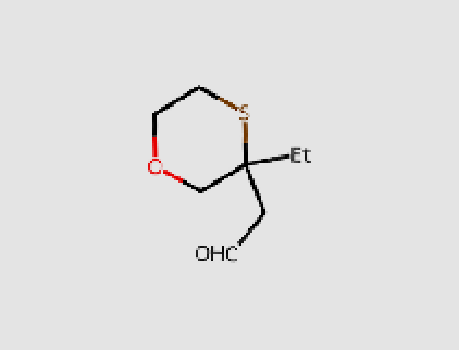 CCC1(CC=O)COCCS1